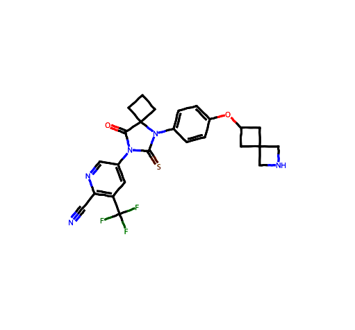 N#Cc1ncc(N2C(=O)C3(CCC3)N(c3ccc(OC4CC5(CNC5)C4)cc3)C2=S)cc1C(F)(F)F